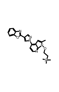 Cc1cc2c(-n3cc(-c4nc5ccccc5o4)cn3)ccnc2n1OCC[Si](C)(C)C